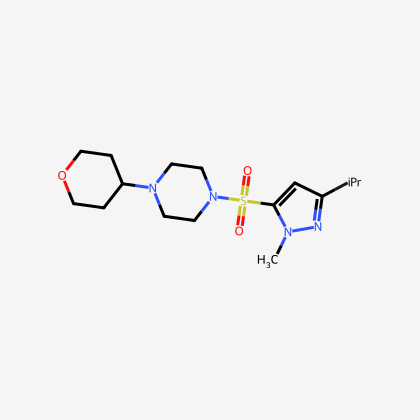 CC(C)c1cc(S(=O)(=O)N2CCN(C3CCOCC3)CC2)n(C)n1